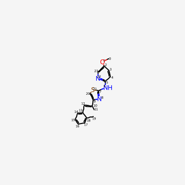 COc1ccc(Nc2nc(/C(C)=C/c3ccccc3C)cs2)nc1